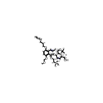 COCOc1ccc(OCCCN=[N+]=[N-])c(/C=C/C[C@@H]2OC(C)(C)O[C@@H]2C(O)/C=C\[C@@H](C)[C@H](C)O)c1C(=O)OCC[Si](C)(C)C